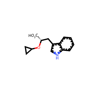 O=C(O)[C@H](Cc1c[nH]c2ccccc12)OC1CC1